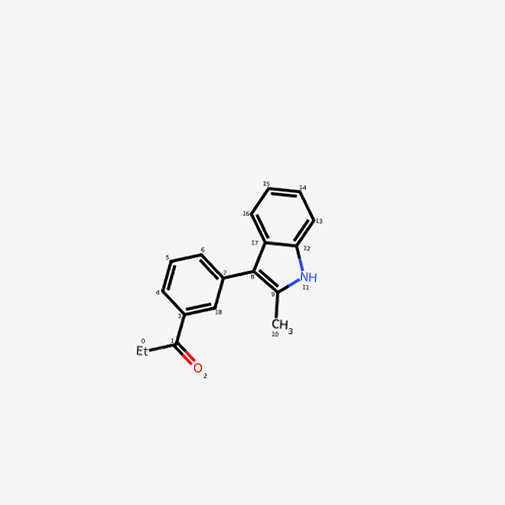 CCC(=O)c1cccc(-c2c(C)[nH]c3ccccc23)c1